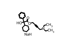 CCN(CC)CC#CCOC(=O)C(O)(c1ccccc1)C1CCCCC1.[NaH]